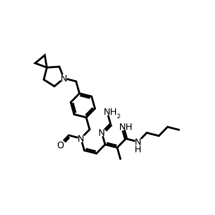 CCCCNC(=N)/C(C)=C(/C=C\N(C=O)Cc1ccc(CN2CCC3(CC3)C2)cc1)\N=C\N